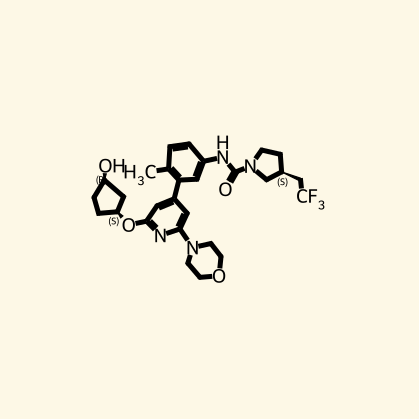 Cc1ccc(NC(=O)N2CC[C@@H](CC(F)(F)F)C2)cc1-c1cc(O[C@H]2CC[C@@H](O)C2)nc(N2CCOCC2)c1